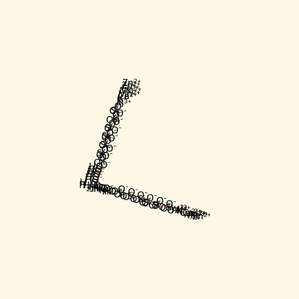 O.O.O.O=[Si]([O-])[O-].O=[Si]([O-])[O-].O=[Si]([O-])[O-].O=[Si]([O-])[O-].O=[Si]([O-])[O-].O=[Si]([O-])[O-].O=[Si]([O-])[O-].O=[Si]([O-])[O-].O=[Si]([O-])[O-].O=[Si]([O-])[O-].O=[Si]([O-])[O-].O=[Si]([O-])[O-].O=[Si]([O-])[O-].[Al+3].[Al+3].[Al+3].[Ca+2].[Ca+2].[Ca+2].[Fe+3].[Fe+3].[Fe+3].[K+].[K+].[K+].[Mn+2].[Mn+2].[Mn+2].[OH-].[OH-].[OH-].[OH-].[OH-].[OH-].[OH-].[OH-].[OH-].[OH-].[OH-].[OH-].[OH-].[Zn+2].[Zn+2].[Zn+2]